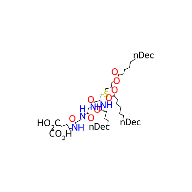 CCCCCCCCCCCCCCCC(=O)OC[C@H](CSC[C@H](NC(=O)CCCCCCCCCCCCC)C(=O)NCC(=O)NCC(=O)N[C@@H](CCC(=O)O)C(=O)O)OC(=O)CCCCCCCCCCCCCCC